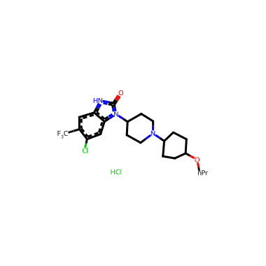 CCCOC1CCC(N2CCC(n3c(=O)[nH]c4cc(C(F)(F)F)c(Cl)cc43)CC2)CC1.Cl